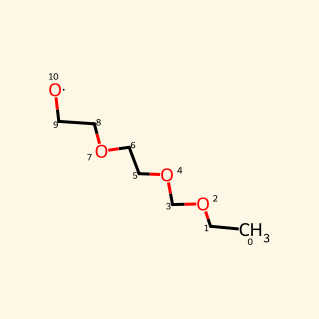 CCOCOCCOCC[O]